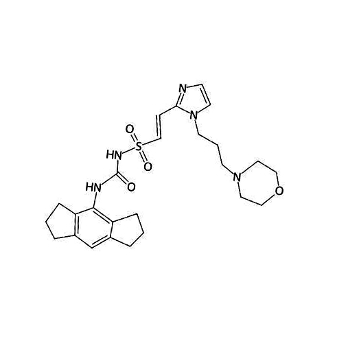 O=C(Nc1c2c(cc3c1CCC3)CCC2)NS(=O)(=O)/C=C/c1nccn1CCCN1CCOCC1